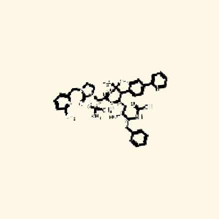 Cc1cccc(CN2CCN([C@H](C(=O)N[C@H](C[C@@H](O)[C@H](Cc3ccccc3)NC(=O)O)C(c3ccc(-c4ccccn4)cc3)C(C)(C)C)C(C)(C)C)C2=O)n1